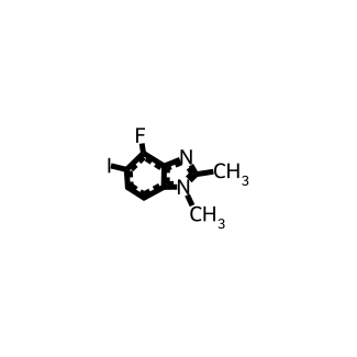 Cc1nc2c(F)c(I)ccc2n1C